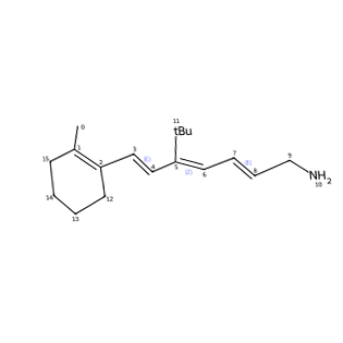 CC1=C(/C=C/C(=C/C=C/CN)C(C)(C)C)CCCC1